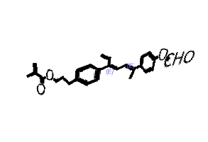 C=C/C(=C\C=C(/C)c1ccc(OC=O)cc1)c1ccc(CCCOC(=O)C(=C)C)cc1